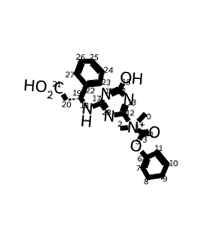 C[N+](C)(C(=O)OC1=CC[CH]C=C1)c1nc(O)nc(N[C@H](CC(=O)O)c2ccccc2)n1